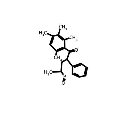 Cc1cc(C)c(C(=O)C(CC(C)P=O)c2ccccc2)c(C)c1C